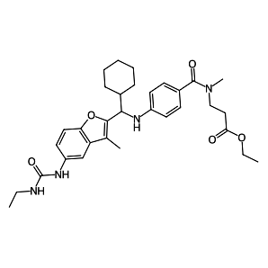 CCNC(=O)Nc1ccc2oc(C(Nc3ccc(C(=O)N(C)CCC(=O)OCC)cc3)C3CCCCC3)c(C)c2c1